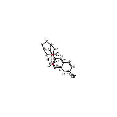 CC(C)(C)OC(=O)N1C2CCC1CN(c1ccc3cc(Br)ccc3c1)C2